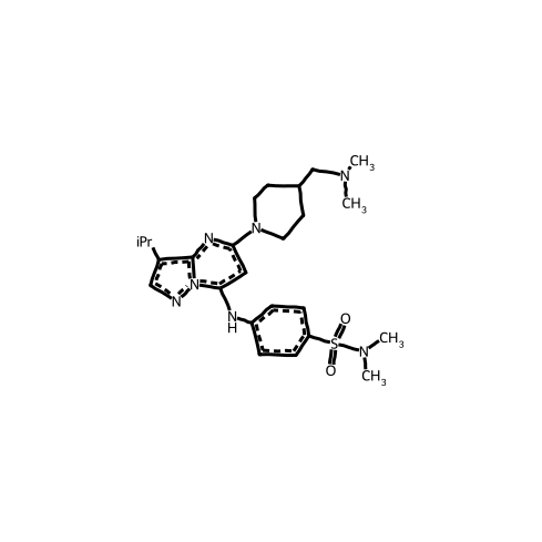 CC(C)c1cnn2c(Nc3ccc(S(=O)(=O)N(C)C)cc3)cc(N3CCC(CN(C)C)CC3)nc12